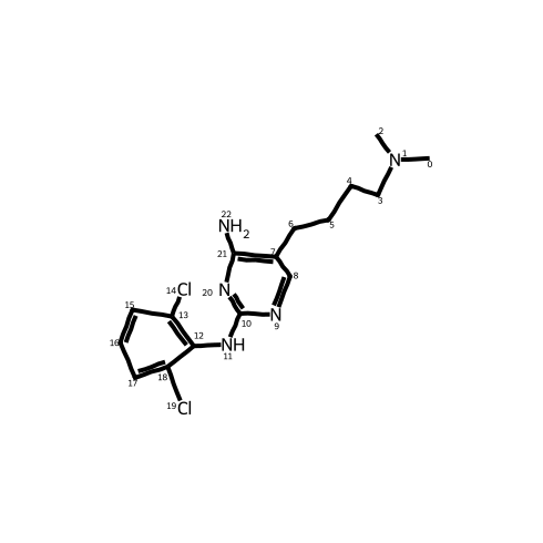 CN(C)CCCCc1cnc(Nc2c(Cl)cccc2Cl)nc1N